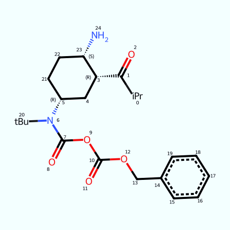 CC(C)C(=O)[C@@H]1C[C@H](N(C(=O)OC(=O)OCc2ccccc2)C(C)(C)C)CC[C@@H]1N